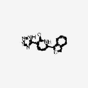 O=c1[nH]c(-c2occ3ccccc23)ccc1-c1nnn[nH]1